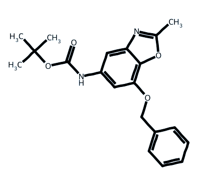 Cc1nc2cc(NC(=O)OC(C)(C)C)cc(OCc3ccccc3)c2o1